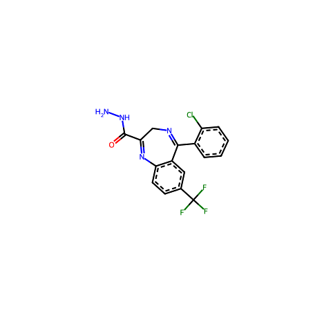 NNC(=O)C1=Nc2ccc(C(F)(F)F)cc2C(c2ccccc2Cl)=NC1